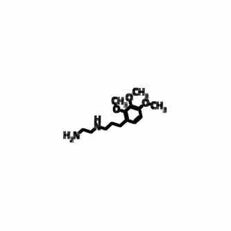 COc1ccc(CCCNCCN)c(OC)c1OC